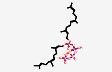 CC(C)=CCCC(C)=CCCC(C)=CCOP(=O)(OCC=C(C)CCC=C(C)CCC=C(C)C)OP(=O)(O)OP(=O)(O)OP(=O)(O)O